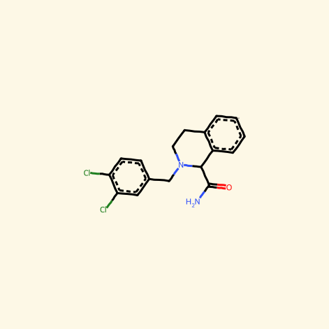 NC(=O)C1c2cc[c]cc2CCN1Cc1ccc(Cl)c(Cl)c1